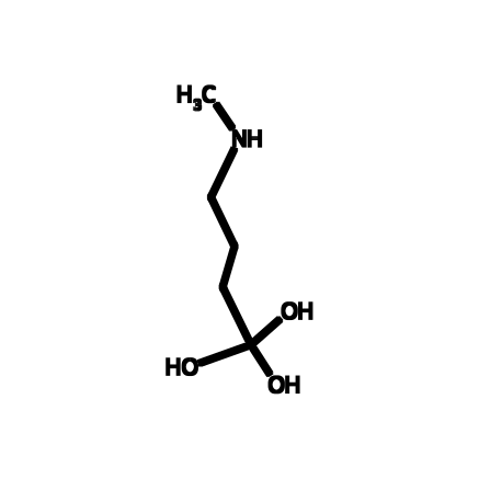 CNCCCC(O)(O)O